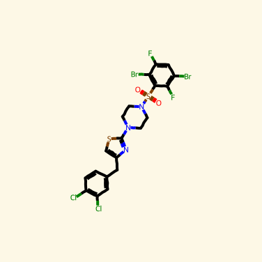 O=S(=O)(c1c(F)c(Br)cc(F)c1Br)N1CCN(c2nc(Cc3ccc(Cl)c(Cl)c3)cs2)CC1